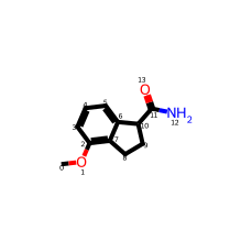 COc1cccc2c1CCC2C(N)=O